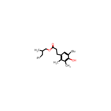 Cc1c(CCC(=O)OCC(C)CC(C)C)cc(C(C)(C)C)c(O)c1C